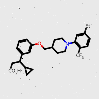 CCc1ccc(C(F)(F)F)c(N2CCC(COc3cccc(C(CC(=O)O)C4CC4)c3)CC2)c1